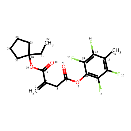 C=C(CC(=O)Oc1c(F)c(F)c(C)c(F)c1F)C(=O)OC1(CC)CCCC1